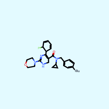 CC(C)(C)c1ccc(CN(C(=O)C2=C(C3C=CC=CC3F)N=C(N3CCOCC3)NC2)C2CC2)cc1